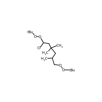 CC(COOC(C)(C)C)CC(C)(C)CC(Cl)OOC(C)(C)C